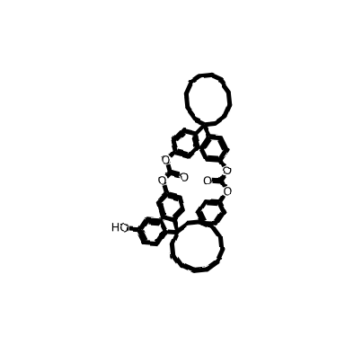 O=C(Oc1ccccc1)Oc1ccc(C2(c3ccc(OC(=O)Oc4ccc(C5(c6ccc(O)cc6)CCCCCCCCCCC5)cc4)cc3)CCCCCCCCCCC2)cc1